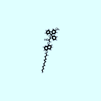 CCCCCCCCCCCCOc1cccc2c(OCC(O)COC(c3ccccc3)(c3ccccc3)c3ccc(OC)cc3)cccc12